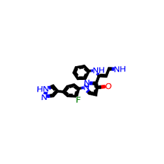 N=C/C=C(\Nc1ccccc1)c1nn(-c2ccc(-c3cn[nH]c3)cc2F)ccc1=O